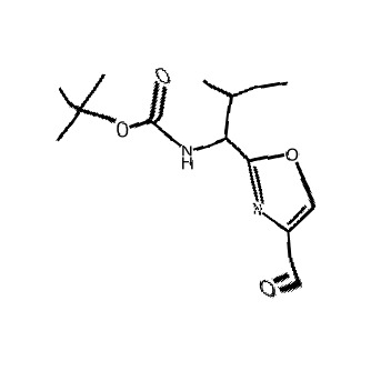 CC(C)C(NC(=O)OC(C)(C)C)c1nc(C=O)co1